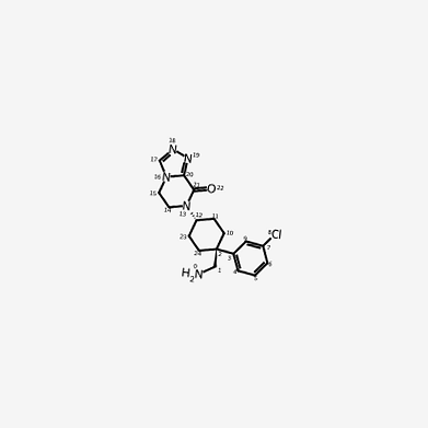 NC[C@]1(c2cccc(Cl)c2)CC[C@@H](N2CCn3cnnc3C2=O)CC1